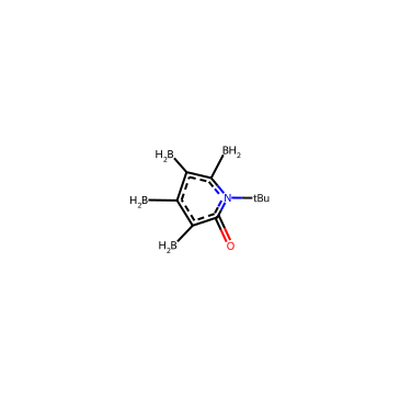 Bc1c(B)c(B)n(C(C)(C)C)c(=O)c1B